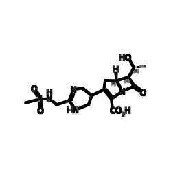 C[C@@H](O)[C@H]1C(=O)N2C(C(=O)O)=C(C3CN=C(CNS(C)(=O)=O)NC3)C[C@H]12